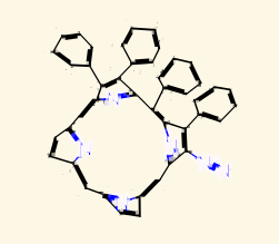 N#[N+]C1=C(c2ccccc2)C2=C(c3ccccc3)C3=NC(=CC4=NC(=CC5=NC(=CC1=N2)C=C5)C=C4)C(c1ccccc1)=C3c1ccccc1